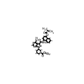 CN(C)C(=O)Oc1ccc(NC(=O)c2nn(C3CCCN(C(=O)OC(C)(C)C)C3)c3ncnc(N)c23)c2ccccc12